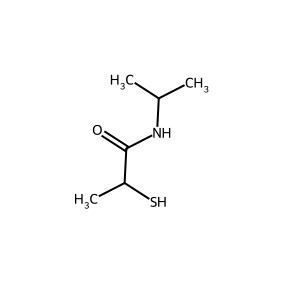 CC(C)NC(=O)C(C)S